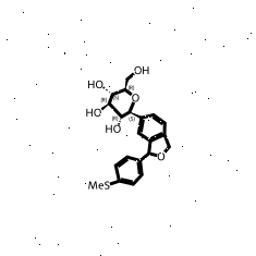 CSc1ccc(C2OCc3ccc([C@@H]4O[C@H](CO)[C@@H](O)[C@H](O)[C@H]4O)cc32)cc1